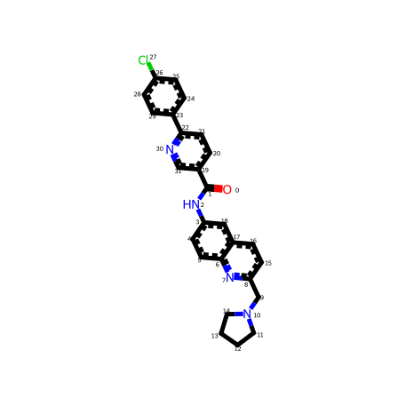 O=C(Nc1ccc2nc(CN3CCCC3)ccc2c1)c1ccc(-c2ccc(Cl)cc2)nc1